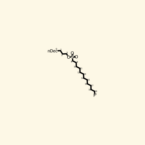 CCCCCCCCCCCCCOS(=O)(=O)CCCCCCCCCCCCF